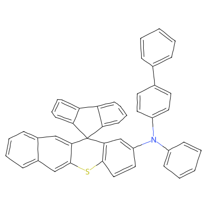 c1ccc(-c2ccc(N(c3ccccc3)c3ccc4c(c3)C3(c5cc6ccccc6cc5S4)c4ccccc4-c4ccccc43)cc2)cc1